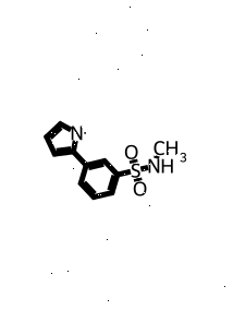 CNS(=O)(=O)c1cccc(C2=CC=C[N]2)c1